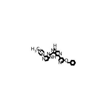 CN1CCN(c2nccc3[nH]c(-c4n[nH]c5cnc(-c6cncc(OCc7ccccc7)c6)cc45)nc23)CC1